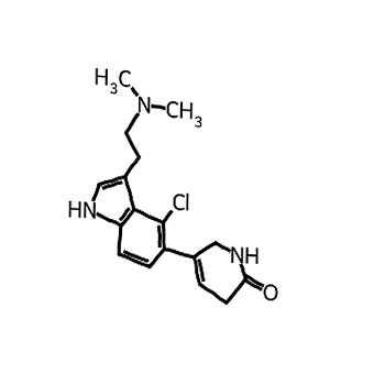 CN(C)CCc1c[nH]c2ccc(C3=CCC(=O)NC3)c(Cl)c12